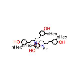 CCCCCCc1cc(CCC(CCc2ccc(O)c(CCCCCC)c2)N(CCN(C(C)=O)C(CCc2ccc(O)c(CCCCCC)c2)CCc2ccc(O)c(CCCCCC)c2)C(C)=O)ccc1O